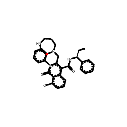 CC[C@H](NC(=O)c1c(CN2CCCNCC2)n(-c2ccccc2)c(=O)c2c(Cl)cccc12)c1ccccc1